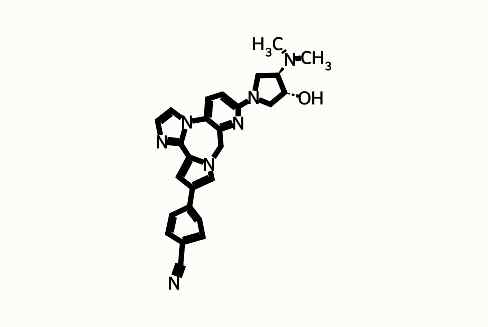 CN(C)[C@H]1CN(c2ccc3c(n2)Cn2cc(-c4ccc(C#N)cc4)cc2-c2nccn2-3)C[C@H]1O